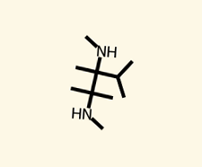 CNC(C)(C)C(C)(NC)C(C)C